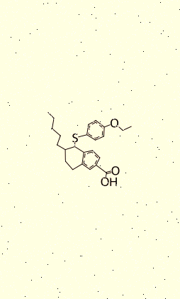 CCCCCC1CCc2cc(C(=O)O)ccc2C1Sc1ccc(OCC)cc1